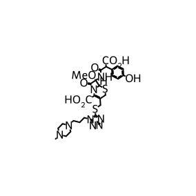 CO[C@@]1(NC(=O)C(C(=O)O)c2ccc(O)cc2)C(=O)N2C(C(=O)O)=C(CSc3nnnn3CCCN3CCN(C)CC3)CS[C@@H]21